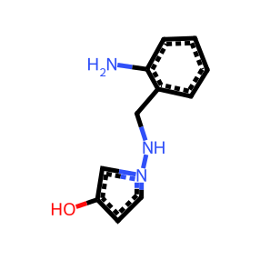 Nc1ccccc1CNn1ccc(O)c1